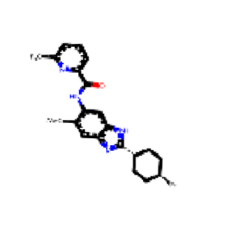 CC[C@H]1CC[C@H](c2nc3cc(OC)c(NC(=O)c4cccc(C(F)(F)F)n4)cc3[nH]2)CC1